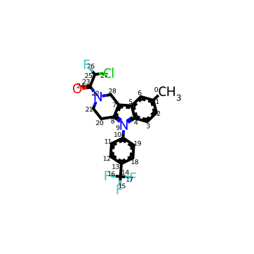 Cc1ccc2c(c1)c1c(n2-c2ccc(C(F)(F)F)cc2)CCN(C(=O)C(F)Cl)C1